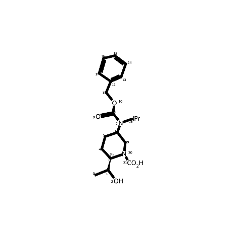 CC(O)[C@H]1CCC(N(C(=O)OCc2ccccc2)C(C)C)CN1C(=O)O